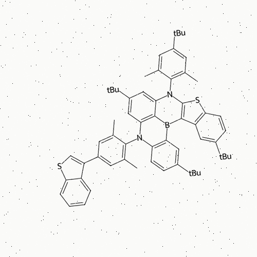 Cc1cc(-c2csc3ccccc23)cc(C)c1N1c2ccc(C(C)(C)C)cc2B2c3c1cc(C(C)(C)C)cc3N(c1c(C)cc(C(C)(C)C)cc1C)c1sc3ccc(C(C)(C)C)cc3c12